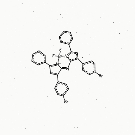 F[B-]1(F)n2c(-c3ccccc3)cc(-c3ccc(Br)cc3)c2N=C2C(c3ccc(Br)cc3)=CC(c3ccccc3)=[N+]21